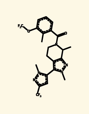 Cc1c(OC(F)(F)F)cccc1C(=O)N1CCc2c(nn(C)c2-c2cc(C(F)(F)F)nn2C)C1C